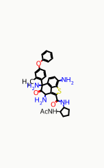 CC(=O)N[C@@H]1CCC[C@@H]1NC(=O)c1sc2c(N)ccc3c2c1C(N)C(=O)C3(N)c1ccc(Oc2ccccc2)cc1C